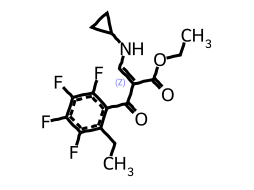 CCOC(=O)/C(=C\NC1CC1)C(=O)c1c(F)c(F)c(F)c(F)c1CC